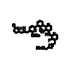 COCC1CN(Cc2ccnc(Nc3ccnc(-c4cccc(-c5ccc(CNCC6CCC(=O)N6)c(OC)n5)c4Cl)c3Cl)c2F)C1